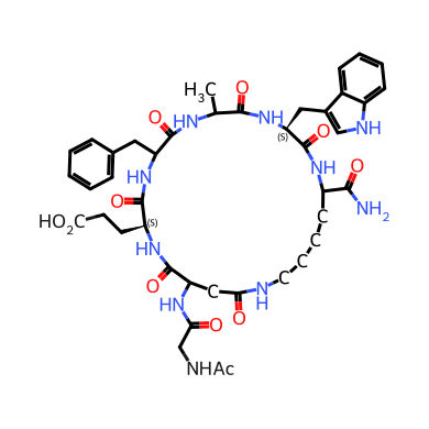 CC(=O)NCC(=O)NC1CC(=O)NCCCCC(C(N)=O)NC(=O)[C@H](Cc2c[nH]c3ccccc23)NC(=O)C(C)NC(=O)C(Cc2ccccc2)NC(=O)[C@H](CCC(=O)O)NC1=O